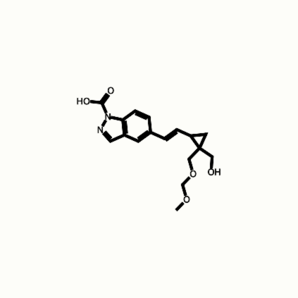 COCOCC1(CO)CC1/C=C/c1ccc2c(cnn2C(=O)O)c1